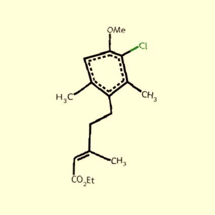 CCOC(=O)/C=C(\C)CCc1c(C)cc(OC)c(Cl)c1C